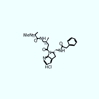 CN[C@@H](C)C(=O)NC[C@@H](C)CC(=O)N1c2ncccc2C[C@H]1CNC(=O)Cc1ccccc1.Cl